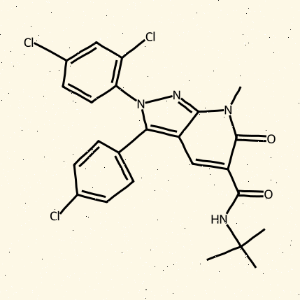 Cn1c(=O)c(C(=O)NC(C)(C)C)cc2c(-c3ccc(Cl)cc3)n(-c3ccc(Cl)cc3Cl)nc21